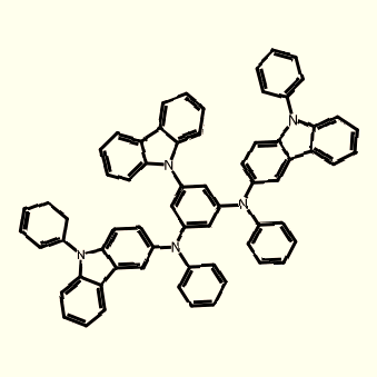 C1=CCCC(n2c3ccccc3c3cc(N(c4ccccc4)c4cc(N(c5ccccc5)c5ccc6c(c5)c5ccccc5n6-c5ccccc5)cc(-n5c6ccccc6c6ccccc65)c4)ccc32)=C1